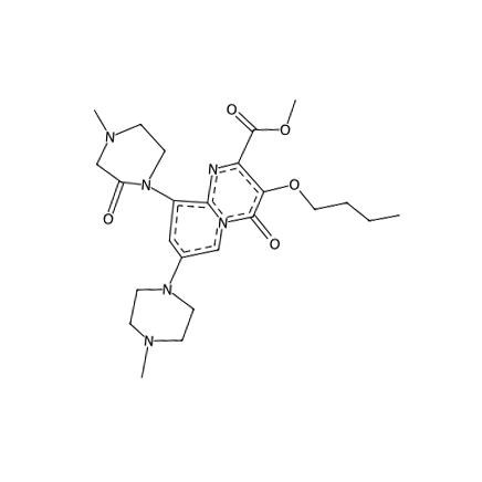 CCCCOc1c(C(=O)OC)nc2c(N3CCN(C)CC3=O)cc(N3CCN(C)CC3)cn2c1=O